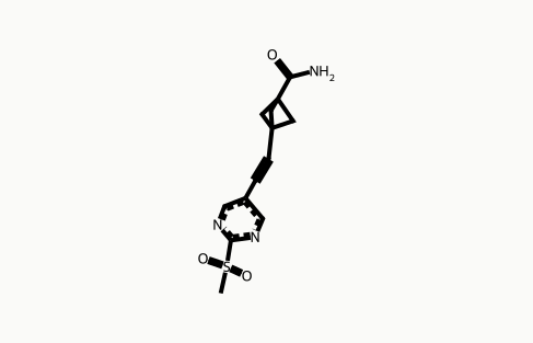 CS(=O)(=O)c1ncc(C#CC23CC(C(N)=O)(C2)C3)cn1